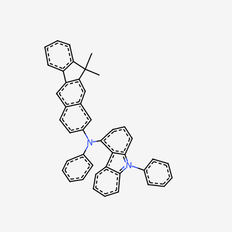 CC1(C)c2ccccc2-c2cc3ccc(N(c4ccccc4)c4cccc5c4c4ccccc4n5-c4ccccc4)cc3cc21